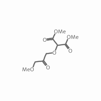 COCC(=O)COC(C(=O)OC)C(=O)OC